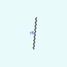 CCCCCCCCCCCCCCCCCCC.CN(C)C